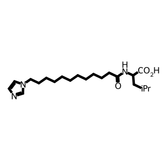 CC(C)CC(NC(=O)CCCCCCCCCCCn1ccnc1)C(=O)O